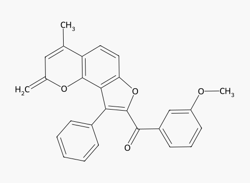 C=C1C=C(C)c2ccc3oc(C(=O)c4cccc(OC)c4)c(-c4ccccc4)c3c2O1